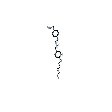 CNc1ccc(/C=N/N=C/c2ccc(OCCOCCF)nc2)cc1